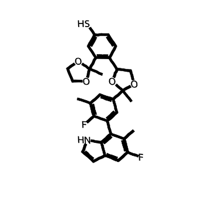 Cc1cc(C2(C)OCC(c3ccc(S)cc3C3(C)OCCO3)O2)cc(-c2c(C)c(F)cc3cc[nH]c23)c1F